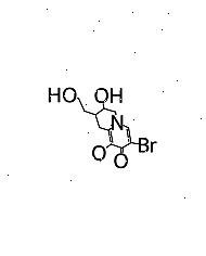 COc1c2n(cc(Br)c1=O)CC(O)C(CCO)C2